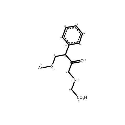 CC(=O)SCC(C(=O)CNCC(=O)O)c1ccccc1